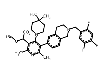 Cc1nc(C)c(C(OC(C)(C)C)C(=O)O)c(N2CCC(C)(C)CC2)c1-c1ccc2c(c1)CCN(Cc1cc(F)c(F)cc1F)C2